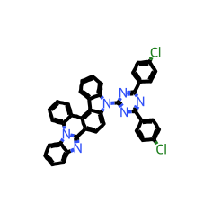 Clc1ccc(-c2nc(-c3ccc(Cl)cc3)nc(-n3c4ccccc4c4c5c6ccccc6n6c7ccccc7nc6c5ccc43)n2)cc1